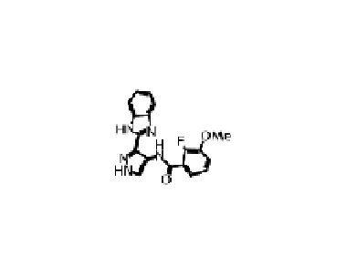 COc1cccc(C(=O)Nc2c[nH]nc2-c2nc3ccccc3[nH]2)c1F